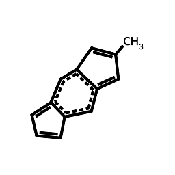 CC1=Cc2cc3c(cc2=C1)C=CC=3